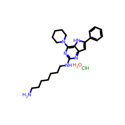 Cl.NCCCCCCCNc1nc(N2CCCCC2)c2[nH]c(-c3ccccc3)cc2n1.O